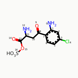 Nc1cc(Cl)ccc1C(=O)CC(N)C(=O)OS(=O)(=O)O